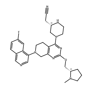 CN1CCC[C@H]1COc1nc2c(c(N3CCN[C@@H](CC#N)C3)n1)CCN(c1cncc3ccc(F)cc13)C2